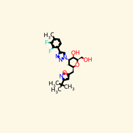 Cc1ccc(-c2cn([C@H]3[CH][C@H](Cc4cc(C(C)(C)C)no4)O[C@H](CO)[C@@H]3O)nn2)c(F)c1F